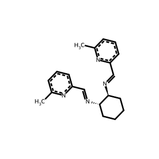 Cc1cccc(C=N[C@H]2CCCC[C@@H]2N=Cc2cccc(C)n2)n1